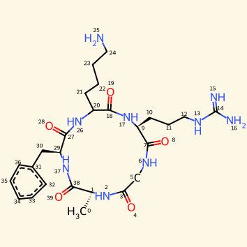 C[C@H]1NC(=O)CNC(=O)[C@H](CCCNC(=N)N)NC(=O)C(CCCCN)NC(=O)[C@H](Cc2ccccc2)NC1=O